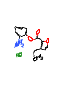 CCc1ccoc1C(=O)Oc1ccccc1N.Cl